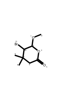 COC1OC(=O)CC(C)(C)C1Br